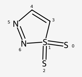 S=S1(=S)C=CN=N1